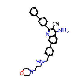 N#Cc1c(-c2ccc(-c3ccccc3)cc2)nc2cc(-c3ccc(CNCCCN4CCOCC4)cc3)ccc2c1N